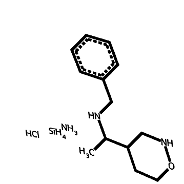 CC(NCc1ccccc1)C1CCONC1.Cl.N.[SiH4]